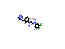 Cc1c(Cn2ccnc2)cccc1NC(=O)CNc1ccc(F)c(F)c1